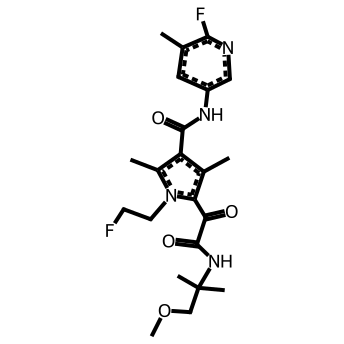 COCC(C)(C)NC(=O)C(=O)c1c(C)c(C(=O)Nc2cnc(F)c(C)c2)c(C)n1CCF